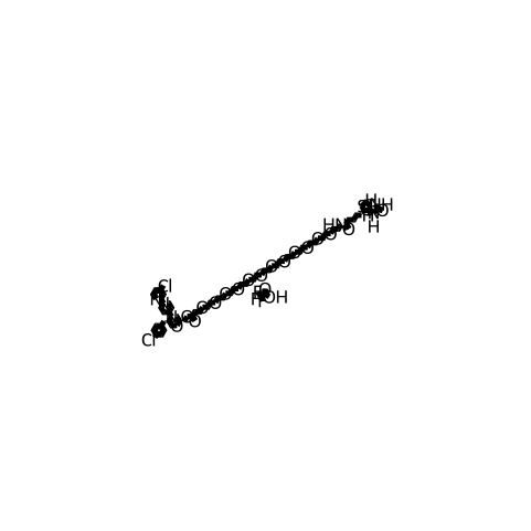 O=C(CCCC[C@@H]1SC[C@@H]2NC(=O)N[C@@H]21)NCCOCCOCCOCCOCCOCCOCCOCCOCCOCCOCCOCCOCCC(=O)OC[C@H]1CN(C2CCN(c3cc(Cl)ccn3)CC2)[C@@H](Cc2ccc(Cl)cc2)CO1.O=C(O)C(F)(F)F